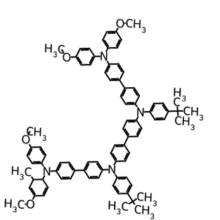 COC1=CC(C)C(N(c2ccc(OC)cc2)c2ccc(-c3ccc(N(c4ccc(-c5ccc(N(c6ccc(-c7ccc(N(c8ccc(OC)cc8)c8ccc(OC)cc8)cc7)cc6)c6ccc(C(C)(C)C)cc6)cc5)cc4)c4ccc(C(C)(C)C)cc4)cc3)cc2)C=C1